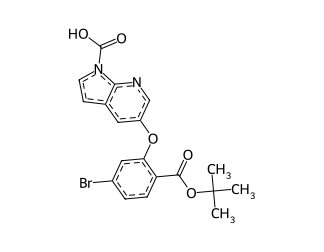 CC(C)(C)OC(=O)c1ccc(Br)cc1Oc1cnc2c(ccn2C(=O)O)c1